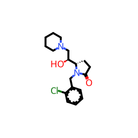 O=C1CC[C@@H]([C@@H](O)CN2CCCCC2)N1Cc1ccccc1Cl